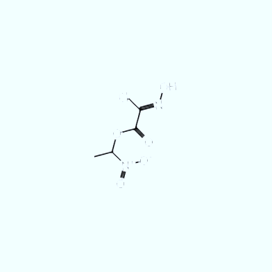 CC(OC(=O)C(Cl)=NO)[N+](=O)[O-]